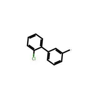 [CH2]c1cccc(-c2ccccc2Cl)c1